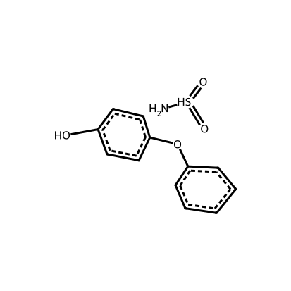 N[SH](=O)=O.Oc1ccc(Oc2ccccc2)cc1